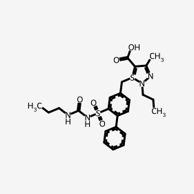 CCCNC(=O)NS(=O)(=O)c1cc(CS2=C(C(=O)O)C(C)=NN2CCC)ccc1-c1ccccc1